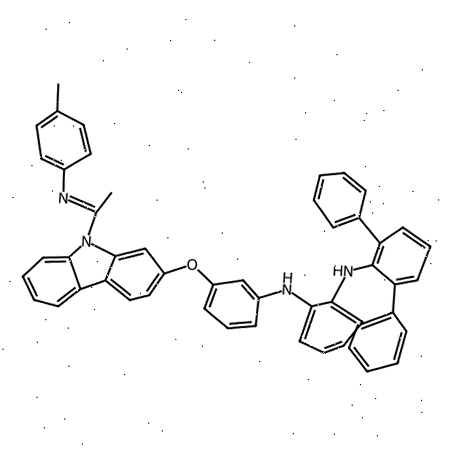 C/C(=N\c1ccc(C)cc1)n1c2ccccc2c2ccc(Oc3cccc(Nc4ccccc4Nc4c(-c5ccccc5)cccc4-c4ccccc4)c3)cc21